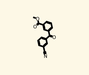 COC(=O)c1cccc(C(=O)c2cccc(C#N)c2)c1